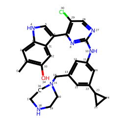 Cc1cc2[nH]cc(-c3nc(Nc4cc(CN5CCNCC5)cc(C5CC5)c4)ncc3Cl)c2cc1O